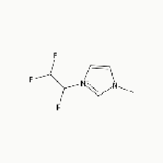 Cn1cc[n+](C(F)C(F)F)c1